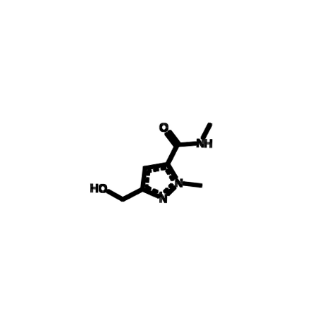 CNC(=O)c1cc(CO)nn1C